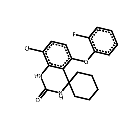 O=C1Nc2c(Cl)ccc(Oc3[c]cccc3F)c2C2(CCCCC2)N1